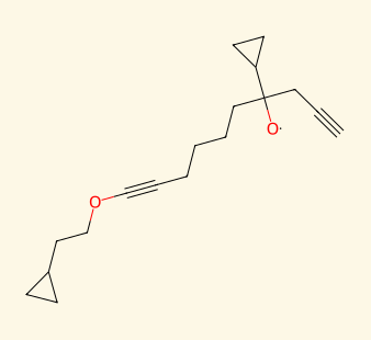 C#CCC([O])(CCCCC#COCCC1CC1)C1CC1